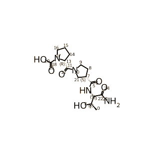 C[C@@H](O)[C@H](NC(=O)[C@H]1CCN(C(=O)[C@H]2CCCN2C(=O)O)C1)C(N)=O